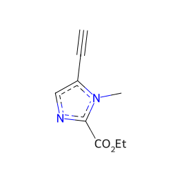 C#Cc1cnc(C(=O)OCC)n1C